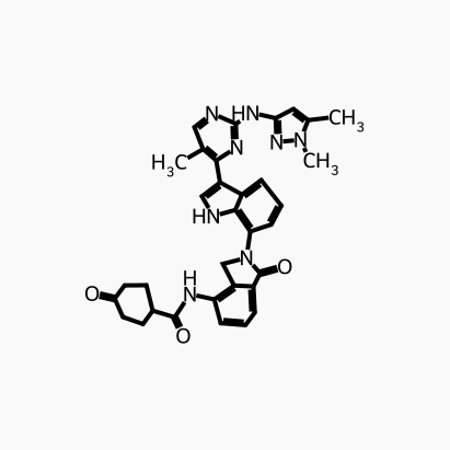 Cc1cnc(Nc2cc(C)n(C)n2)nc1-c1c[nH]c2c(N3Cc4c(NC(=O)C5CCC(=O)CC5)cccc4C3=O)cccc12